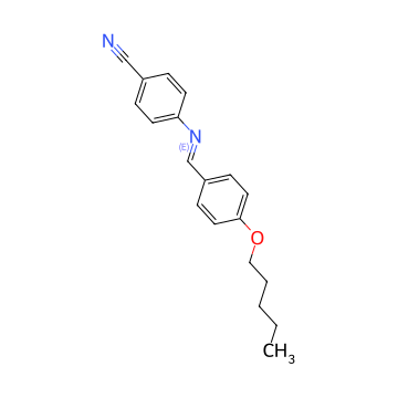 CCCCCOc1ccc(/C=N/c2ccc(C#N)cc2)cc1